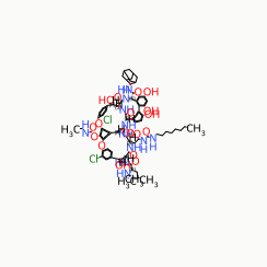 CCCCCCCCNC(=O)NC(=O)C[C@@H]1NC(=O)[C@H](NC(=O)[C@@H](CC(C)C)NC)[C@H](O)c2ccc(c(Cl)c2)Oc2cc3cc(c2OC(=O)NCC)Oc2ccc(cc2Cl)[C@@H](O)[C@@H]2NC(=O)[C@H](NC(=O)[C@@H]3NC1=O)c1ccc(O)c(c1)-c1c(O)cc(O)cc1[C@@H](C(=O)NC1C3CC4CC(C3)CC1C4)NC2=O